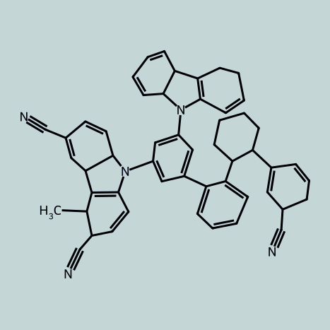 CC1C2=C(C=CC1C#N)N(c1cc(-c3ccccc3C3CCCCC3C3=CC(C#N)CC=C3)cc(N3C4=C(CCC=C4)C4C=CC=CC43)c1)C1C=CC(C#N)=CC21